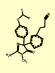 CN1C(=O)C(c2ccc(OC(F)F)cc2)(c2cccc(CCC#N)c2)N=C1N